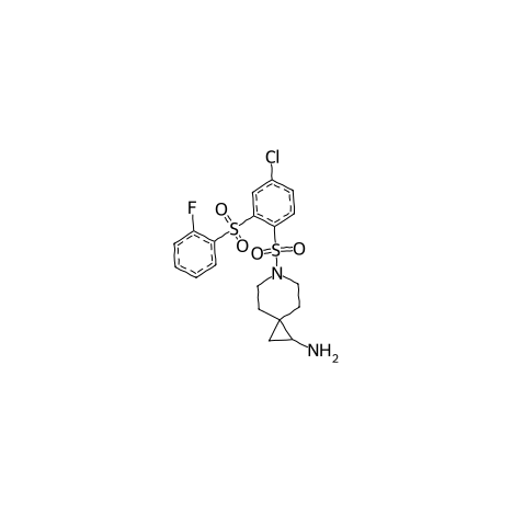 NC1CC12CCN(S(=O)(=O)c1ccc(Cl)cc1S(=O)(=O)c1ccccc1F)CC2